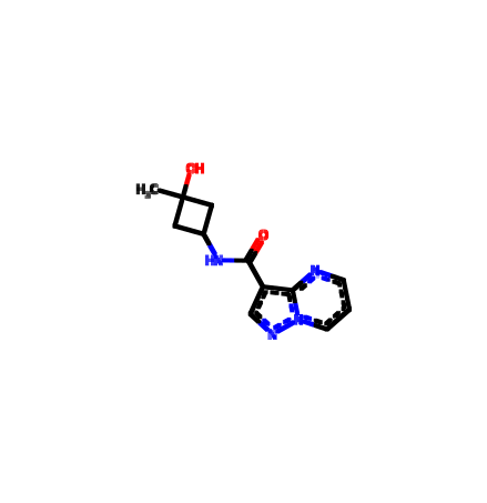 CC1(O)CC(NC(=O)c2cnn3cccnc23)C1